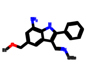 CCOCc1cc(N)c2[nH]c(-c3ccccc3)c(/C=N/OC)c2c1